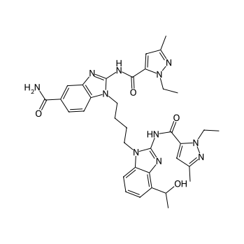 CCn1nc(C)cc1C(=O)Nc1nc2cc(C(N)=O)ccc2n1CCCCn1c(NC(=O)c2cc(C)nn2CC)nc2c(C(C)O)cccc21